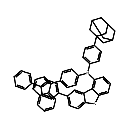 c1ccc(-c2ccc(-c3ccc4sc5cccc(N(c6ccc(-c7cccc8ccccc78)cc6)c6ccc(C78CC9CC(CC(C9)C7)C8)cc6)c5c4c3)cc2)cc1